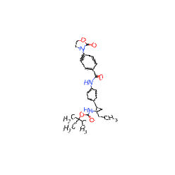 CCC1(NC(=O)OC(C)(C)C)CC1c1ccc(NC(=O)c2ccc(N3CCOC3=O)cc2)cc1